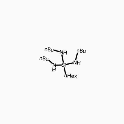 CCCCCC[Si](NCCCC)(NCCCC)NCCCC